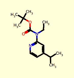 CCN(C(=O)OC(C)(C)C)c1cc(C(C)C)ccn1